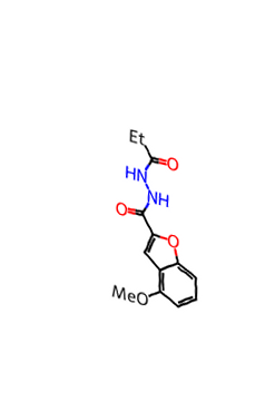 CCC(=O)NNC(=O)c1cc2c(OC)cccc2o1